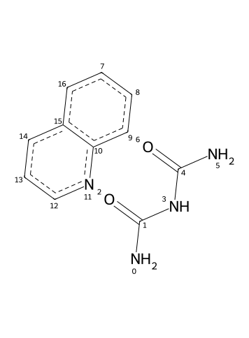 NC(=O)NC(N)=O.c1ccc2ncccc2c1